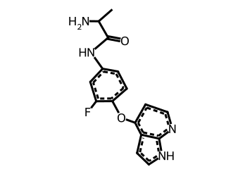 CC(N)C(=O)Nc1ccc(Oc2ccnc3[nH]ccc23)c(F)c1